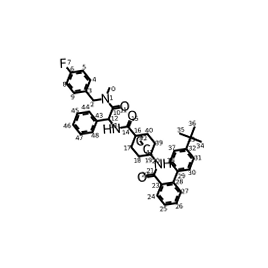 CN(Cc1ccc(F)cc1)C(=O)C(NC(=O)C12CCC(NC(=O)c3ccccc3-c3ccc(C(C)(C)C)cc3)(CC1)CC2)c1ccccc1